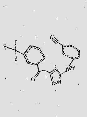 N#Cc1cccc(Nc2ncc(C(=O)c3cccc(C(F)(F)F)c3)s2)c1